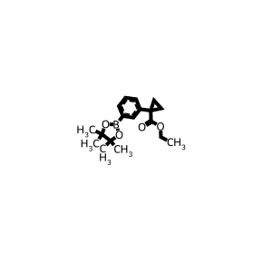 CCOC(=O)C1(c2cccc(B3OC(C)(C)C(C)(C)O3)c2)CC1